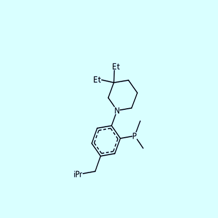 CCC1(CC)CCCN(c2ccc(CC(C)C)cc2P(C)C)C1